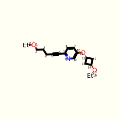 CCOCCCC#Cc1ccc(O[C@H]2C[C@H](OCC)C2)cn1